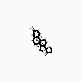 C[C@@H]1CCO[C@@]12CC[C@H]1[C@@H]3CCc4cc(O)ccc4[C@H]3CC[C@@]12C